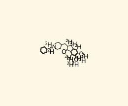 [2H]c1c(OC([2H])([2H])[2H])c(OC([2H])([2H])[2H])c([2H])c2c1C(=O)C(CC1CCN(C([2H])([2H])c3ccccc3)CC1)C2([2H])[2H]